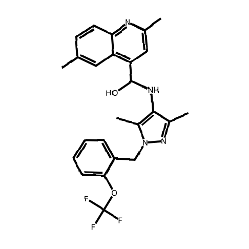 Cc1ccc2nc(C)cc(C(O)Nc3c(C)nn(Cc4ccccc4OC(F)(F)F)c3C)c2c1